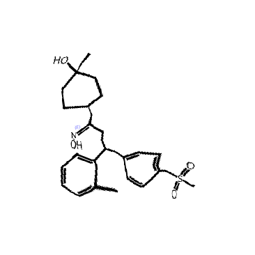 Cc1ccccc1C(C/C(=N\O)[C@H]1CC[C@](C)(O)CC1)c1ccc(S(C)(=O)=O)cc1